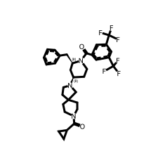 O=C(C1CC1)N1CCC2(CC1)CCN([C@@H]1CCN(C(=O)c3cc(C(F)(F)F)cc(C(F)(F)F)c3)[C@H](Cc3ccccc3)C1)C2